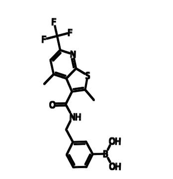 Cc1sc2nc(C(F)(F)F)cc(C)c2c1C(=O)NCc1cccc(B(O)O)c1